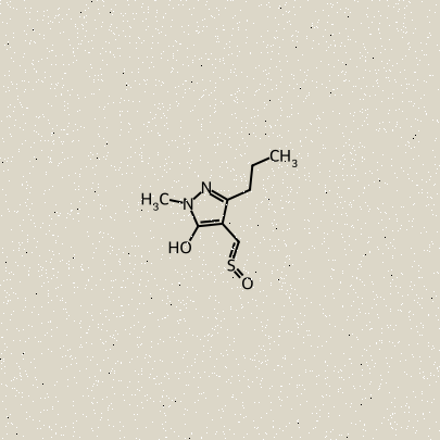 CCCc1nn(C)c(O)c1C=S=O